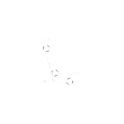 CN(CCSc1cccc(CC(=O)O)c1)c1cccc(CNCCSc2cccc(CC(=O)O)c2)n1